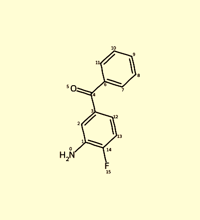 Nc1cc(C(=O)c2ccccc2)ccc1F